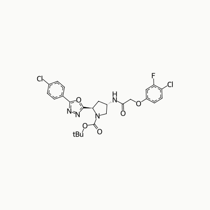 CC(C)(C)OC(=O)N1C[C@@H](NC(=O)COc2ccc(Cl)c(F)c2)C[C@@H]1c1nnc(-c2ccc(Cl)cc2)o1